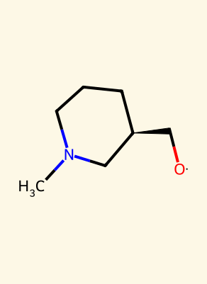 CN1CCC[C@@H](C[O])C1